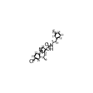 CCCc1c(OC(=O)NCCc2cccc(F)c2)cnn1-c1ccc(Cl)cc1